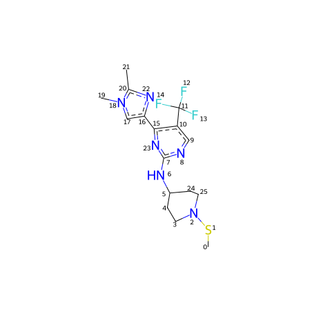 CSN1CCC(Nc2ncc(C(F)(F)F)c(-c3cn(C)c(C)n3)n2)CC1